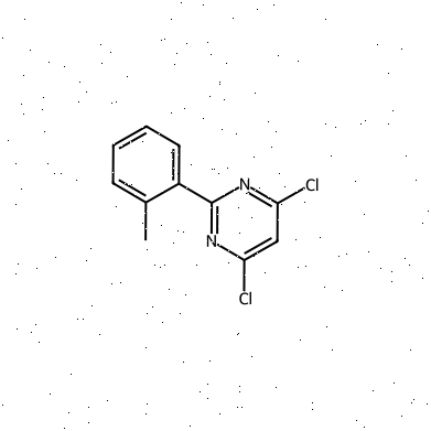 Cc1ccccc1-c1nc(Cl)cc(Cl)n1